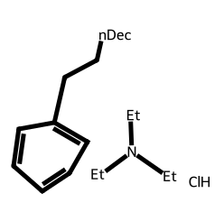 CCCCCCCCCCCCc1ccccc1.CCN(CC)CC.Cl